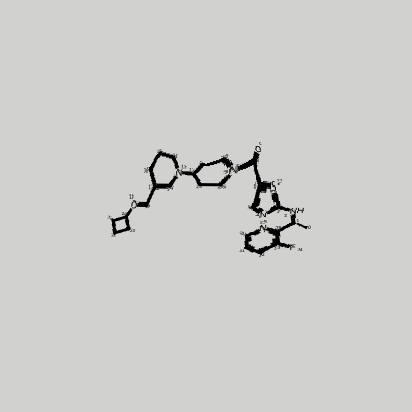 C[C@H](Nc1ncc(C(=O)N2CCC(N3CCCC(COC4CCC4)C3)CC2)s1)c1ncccc1F